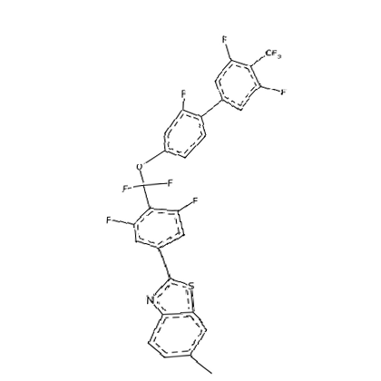 Cc1ccc2nc(-c3cc(F)c(C(F)(F)Oc4ccc(-c5cc(F)c(C(F)(F)F)c(F)c5)c(F)c4)c(F)c3)sc2c1